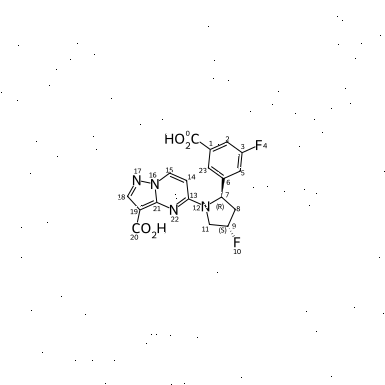 O=C(O)c1cc(F)cc([C@H]2C[C@H](F)CN2c2ccn3ncc(C(=O)O)c3n2)c1